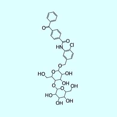 O=C(Nc1cc(COC2OC(CO)C(OC3OC(CO)C(O)C(O)C3O)C(O)C2O)ccc1Cl)c1ccc(C(=O)c2ccccc2)cc1